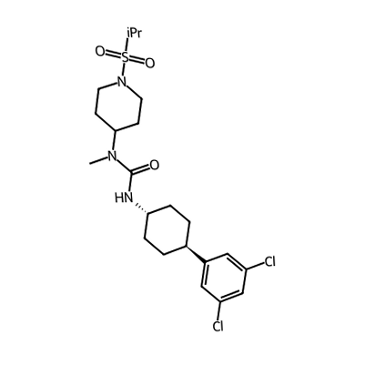 CC(C)S(=O)(=O)N1CCC(N(C)C(=O)N[C@H]2CC[C@H](c3cc(Cl)cc(Cl)c3)CC2)CC1